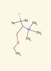 [2H]C([2H])(F)C(COCC)[N+](C)(C)C